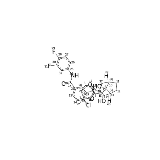 Cc1ccnc([C@@H](O)[C@@]2(O)[C@@H]3CC[C@H]2C[C@H](S(=O)(=O)c2cc(C(=O)Nc4ccc(F)c(F)c4)ccc2Cl)C3)c1